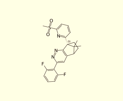 CC1(C)C2CC[C@]1(c1cccc(S(C)(=O)=O)n1)c1nnc(-c3c(F)cccc3F)cc12